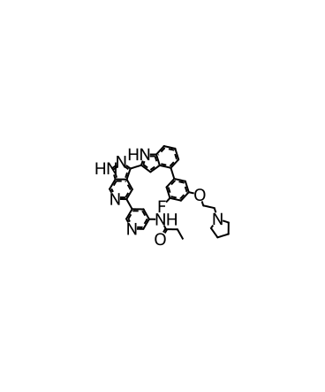 CCC(=O)Nc1cncc(-c2cc3c(-c4cc5c(-c6cc(F)cc(OCCN7CCCC7)c6)cccc5[nH]4)n[nH]c3cn2)c1